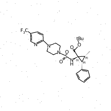 C[C@@H]1[C@H](c2ccccc2)[C@]1(NS(=O)(=O)N1CCN(c2ccc(C(F)(F)F)cn2)CC1)C(=O)OC(C)(C)C